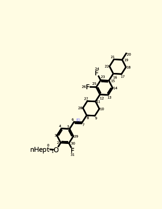 CCCCCCCOc1ccc(/C=C/C2CCC(c3ccc(C4CCC(C)CC4)c(F)c3F)CC2)cc1F